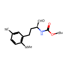 CNc1ccc(C#N)cc1CC[C@@H](C=O)NC(=O)OC(C)(C)C